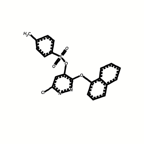 Cc1ccc(S(=O)(=O)Oc2cc(Cl)nnc2Oc2cccc3ccccc23)cc1